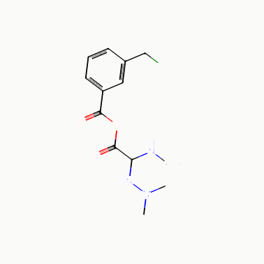 CN(C)NC(NC=O)C(=O)OC(=O)c1cccc(CCl)c1